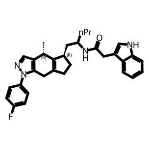 CCCC(C[C@H]1CCC2=C1[C@@H](C)c1cnn(-c3ccc(F)cc3)c1C2)NC(=O)Cc1c[nH]c2ccccc12